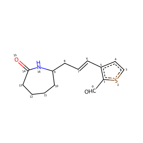 O=Cc1sccc1C=CCC1CCCCC(=O)N1